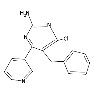 Nc1nc(Cl)c(Cc2ccccc2)c(-c2cccnc2)n1